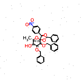 C[C@@H]1O[C@](OCc2ccccc2)(C(=O)c2ccc([N+](=O)[O-])cc2)[C@@H](OCc2ccccc2)[C@H](OCc2ccccc2)[C@@H]1O